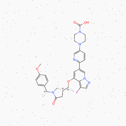 COc1ccc([C@@H](C)N2C[C@H]([C@@H](C)Oc3cc(-c4ccc(N5CCN(C(=O)O)CC5)cn4)cn4ncc(I)c34)CC2=O)cc1